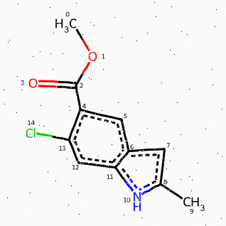 COC(=O)c1cc2cc(C)[nH]c2cc1Cl